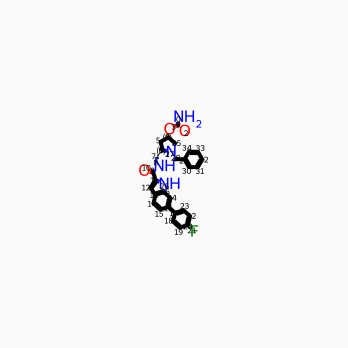 NC(=O)O[C@H]1C[C@@H](CNC(=O)c2cc3ccc(-c4ccc(F)cc4)cc3[nH]2)N(Cc2ccccc2)C1